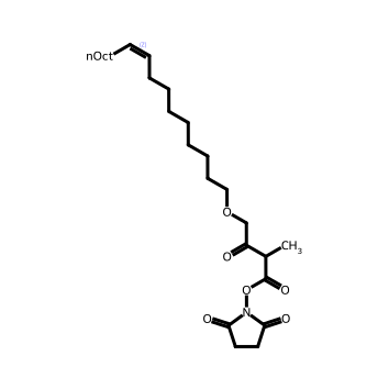 CCCCCCCC/C=C\CCCCCCCCOCC(=O)C(C)C(=O)ON1C(=O)CCC1=O